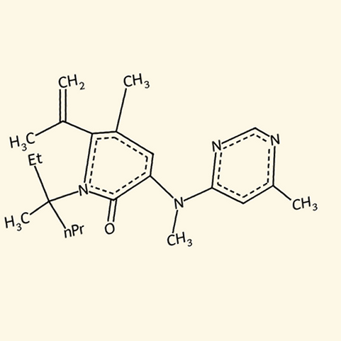 C=C(C)c1c(C)cc(N(C)c2cc(C)ncn2)c(=O)n1C(C)(CC)CCC